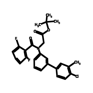 Cc1cc(-c2cccc(N(CC(=O)OC(C)(C)C)C(=O)c3c(F)cccc3F)c2)ccc1Cl